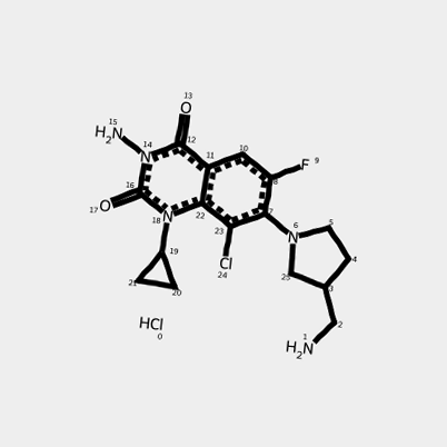 Cl.NCC1CCN(c2c(F)cc3c(=O)n(N)c(=O)n(C4CC4)c3c2Cl)C1